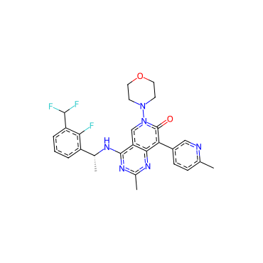 Cc1ccc(-c2c(=O)n(N3CCOCC3)cc3c(N[C@H](C)c4cccc(C(F)F)c4F)nc(C)nc23)cn1